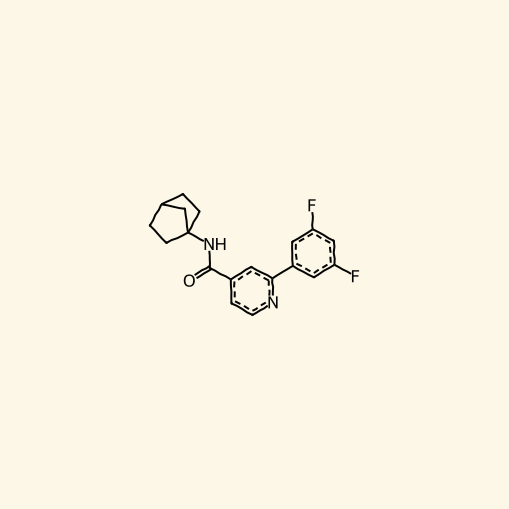 O=C(NC12CCC(CC1)C2)c1ccnc(-c2cc(F)cc(F)c2)c1